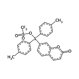 Cc1ccc(S(OS(=O)(=O)C(F)(F)F)(c2ccc(C)cc2)c2ccc3ccc(=O)oc3c2)cc1